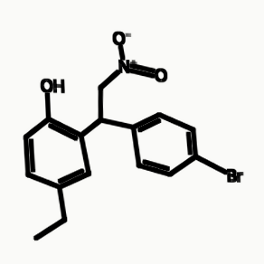 CCc1ccc(O)c(C(C[N+](=O)[O-])c2ccc(Br)cc2)c1